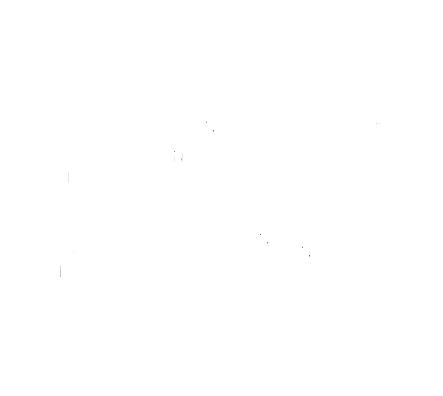 N#C/N=C1\c2cc(-c3cc(F)cc(C(F)(F)F)c3)ccc2-c2cc3c(cc21)-c1ccc(-c2cc(F)cc(C(F)(F)F)c2)cc1C3NC#N